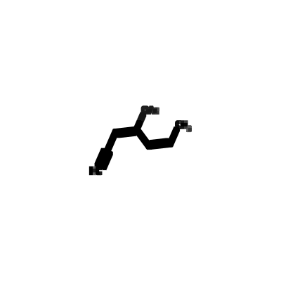 C#C/C=C(\C=C/C)OC(C)=O